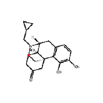 N#Cc1ccc2c(c1O)[C@]13CCN(CC4CC4)[C@H](C2)[C@]1(O)CCC(=O)C3